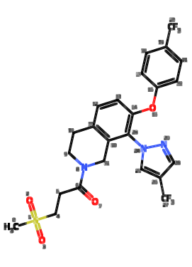 CS(=O)(=O)CCC(=O)N1CCc2ccc(Oc3ccc(C(F)(F)F)cc3)c(-n3cc(C(F)(F)F)cn3)c2C1